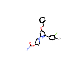 N#Cc1ccc(-c2cc(OCc3ccccc3)cc(N3CCC(OC(N)=O)CC3)n2)cc1F